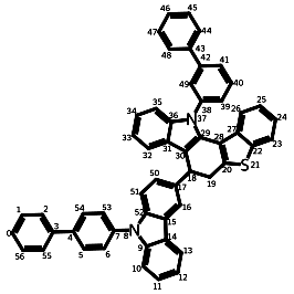 c1ccc(-c2ccc(-n3c4ccccc4c4cc(C5Cc6sc7ccccc7c6-c6c5c5ccccc5n6-c5cccc(-c6ccccc6)c5)ccc43)cc2)cc1